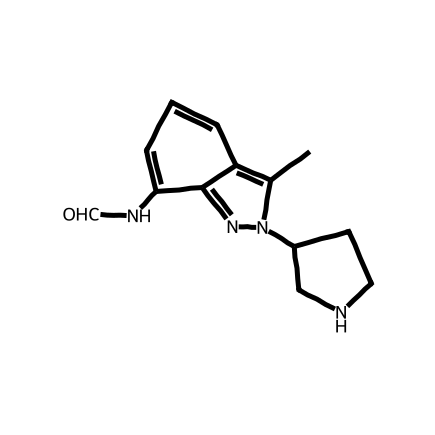 Cc1c2cccc(NC=O)c2nn1C1CCNC1